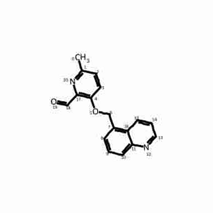 Cc1ccc(OCc2cccc3ncccc23)c(C=O)n1